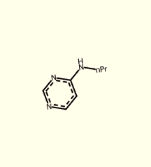 CCCNc1ccncn1